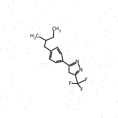 CCC(C)Cc1ccc(C2=NN=C(C(F)(F)F)C2)cc1